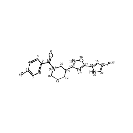 O=C(c1ccc(F)cc1)N1CCCC(c2noc(-c3cc(F)c[nH]3)n2)C1